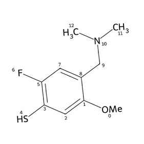 COc1cc(S)c(F)cc1CN(C)C